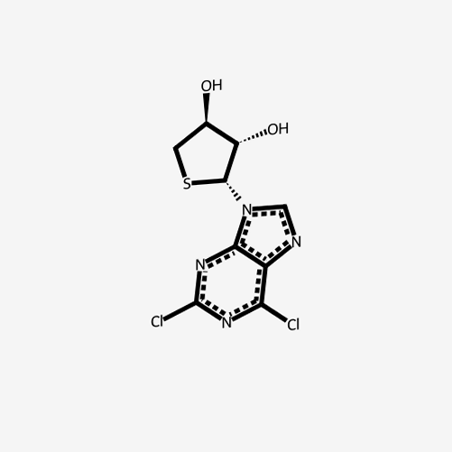 O[C@H]1[C@H](O)CS[C@H]1n1cnc2c(Cl)nc(Cl)nc21